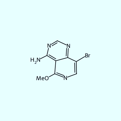 COc1ncc(Br)c2ncnc(N)c12